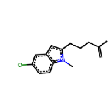 C=C(C)CCCc1cc2cc(Cl)ccc2n1C